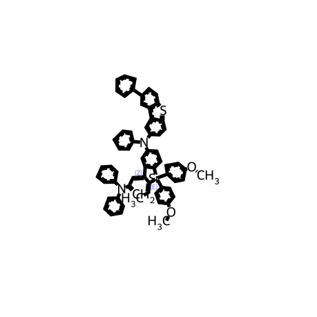 C=C(/C=C1\C(=C/C)[Si](c2ccc(OC)cc2)(c2ccc(OC)cc2)c2ccc(N(c3ccccc3)c3ccc4sc5ccc(-c6ccccc6)cc5c4c3)cc21)N(c1ccccc1)c1ccccc1